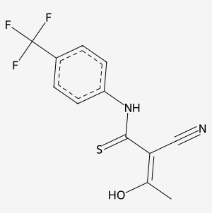 C/C(O)=C(\C#N)C(=S)Nc1ccc(C(F)(F)F)cc1